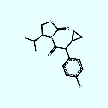 CC(C)[C@H]1COC(=O)N1C(=O)C(c1ccc(Cl)cc1)C1CC1